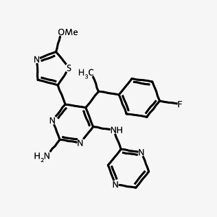 COc1ncc(-c2nc(N)nc(Nc3cnccn3)c2C(C)c2ccc(F)cc2)s1